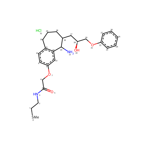 CSCCNC(=O)COc1ccc2c(c1)C(N)C(C[C@H](O)COc1ccccc1)CCC2.Cl